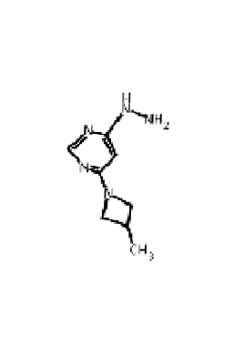 CC1CN(c2cc(NN)ncn2)C1